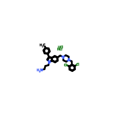 Cc1ccc(-c2cn(CCCN)c3ccc(CN4CCN(Cc5c(Cl)cccc5Cl)CC4)cc23)cc1.Cl.Cl